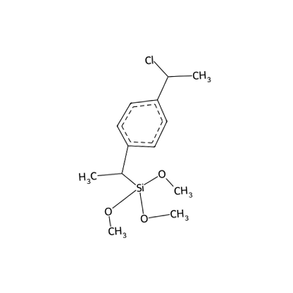 CO[Si](OC)(OC)C(C)c1ccc(C(C)Cl)cc1